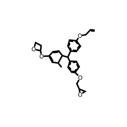 C=CCOc1ccc(C(c2ccc(OCC3CO3)cc2)C2C=CC(OC3CCO3)=CC2C)cc1